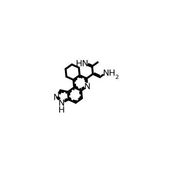 CC(=N)/C(=C\N)c1nc2ccc3[nH]ncc3c2c2c1CCCC2